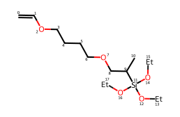 C=COCCCCOCC(C)[Si](OCC)(OCC)OCC